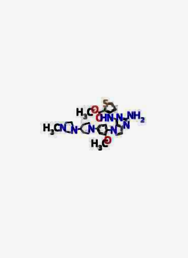 COC(=O)c1sccc1Nc1nc(N)nc2ccn(-c3ccc(N4CCC(N5CCN(C)CC5)CC4)cc3OC)c12